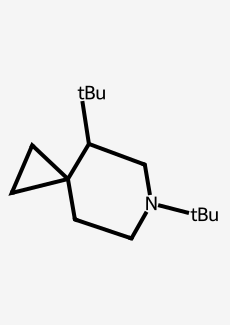 CC(C)(C)C1CN(C(C)(C)C)CCC12CC2